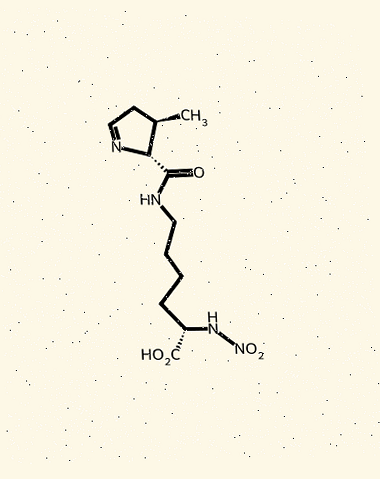 C[C@@H]1CC=N[C@H]1C(=O)NCCCC[C@H](N[N+](=O)[O-])C(=O)O